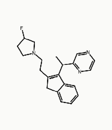 CC(C1=C(CCN2CCC(F)C2)Cc2ccccc21)c1cnccn1